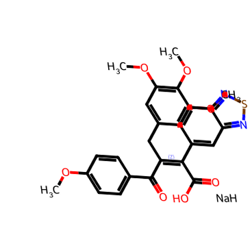 COc1ccc(C(=O)/C(Cc2cc(OC)c(OC)c(OC)c2)=C(\C(=O)O)c2ccc3nsnc3c2)cc1.[NaH]